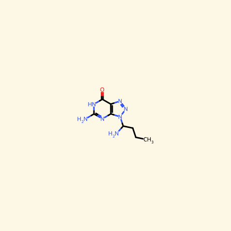 CCCC(N)n1nnc2c(=O)[nH]c(N)nc21